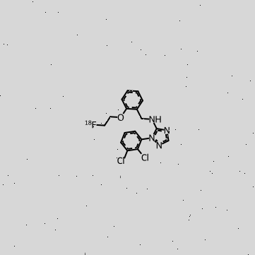 [18F]CCOc1ccccc1CNc1ncnn1-c1cccc(Cl)c1Cl